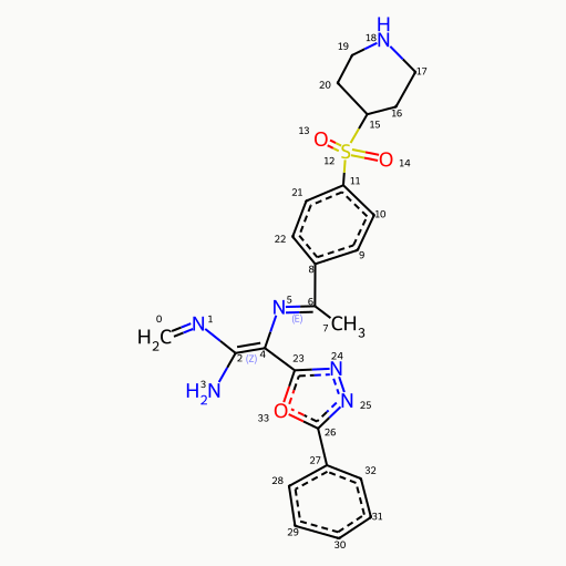 C=N/C(N)=C(\N=C(/C)c1ccc(S(=O)(=O)C2CCNCC2)cc1)c1nnc(-c2ccccc2)o1